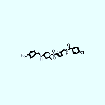 O=C(NCc1ccc(S(=O)(=O)N2CCC(NCc3ccc(C(F)(F)F)cc3)CC2I)s1)c1ccc(Cl)cc1